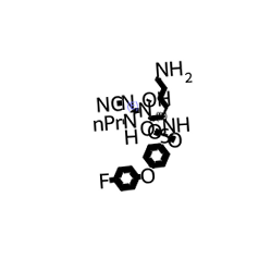 CCCN/C(=N\C#N)N(O)C(=O)[C@@H](CCCCN)NS(=O)(=O)c1ccc(Oc2ccc(F)cc2)cc1